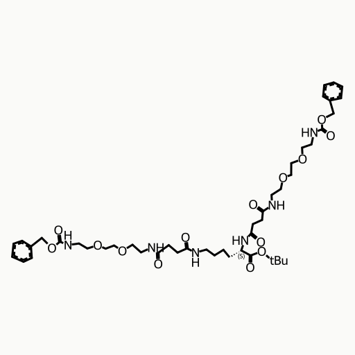 CC(C)(C)OC(=O)[C@H](CCCCNC(=O)CCC(=O)NCCOCCOCCNC(=O)OCc1ccccc1)NC(=O)CCC(=O)NCCOCCOCCNC(=O)OCc1ccccc1